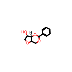 O[C@@H]1COC2COC(c3ccccc3)O[C@H]21